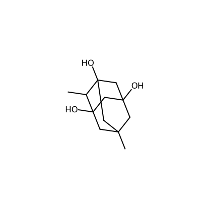 CC1C2(O)CC3(C)CC(O)(C2)CC1(O)C3